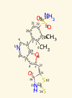 Cc1c(-c2cncc3cc(C=C4SC(=S)NC4=O)oc23)ccc(S(N)(=O)=O)c1C